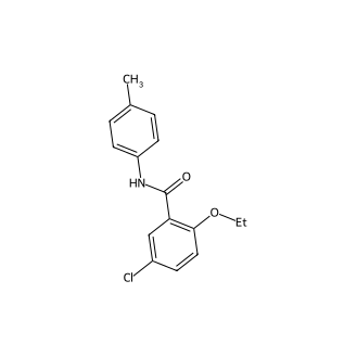 CCOc1ccc(Cl)cc1C(=O)Nc1ccc(C)cc1